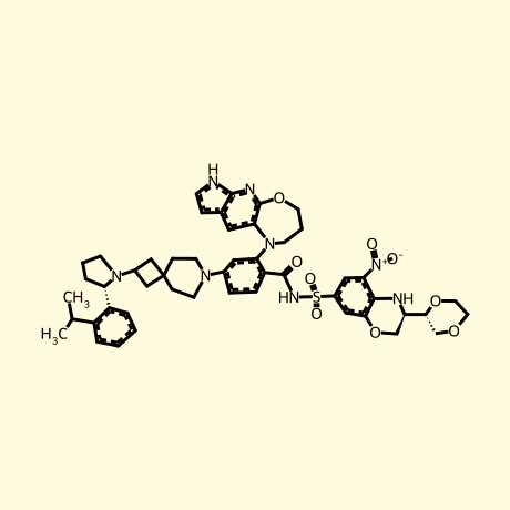 CC(C)c1ccccc1[C@@H]1CCCN1C1CC2(CCN(c3ccc(C(=O)NS(=O)(=O)c4cc5c(c([N+](=O)[O-])c4)N[C@@H]([C@H]4COCCO4)CO5)c(N4CCCOc5nc6[nH]ccc6cc54)c3)CC2)C1